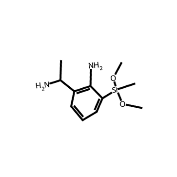 CO[Si](C)(OC)c1cccc(C(C)N)c1N